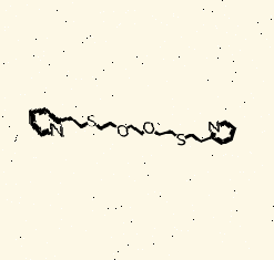 c1ccc(CCSCCOCCOCCSCCc2ccccn2)nc1